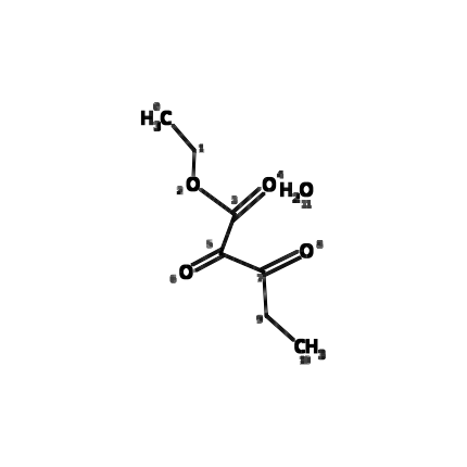 CCOC(=O)C(=O)C(=O)CC.O